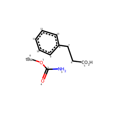 CC(C)(C)OC(N)=O.O=C(O)CCc1ccccc1